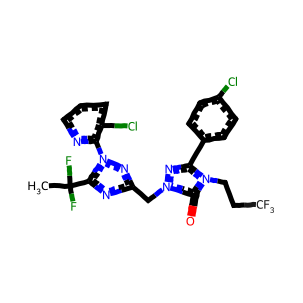 CC(F)(F)c1nc(Cn2nc(-c3ccc(Cl)cc3)n(CCC(F)(F)F)c2=O)nn1-c1ncccc1Cl